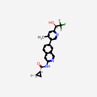 Cc1cc([C@@H](O)C(F)(F)F)ncc1-c1ccc2cc(NC(=O)[C@@H]3C[C@@H]3F)ncc2c1